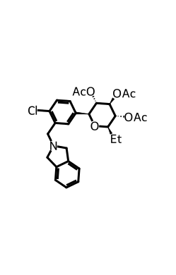 CC[C@H]1O[C@@H](c2ccc(Cl)c(CN3Cc4ccccc4C3)c2)[C@H](OC(C)=O)[C@@H](OC(C)=O)[C@@H]1OC(C)=O